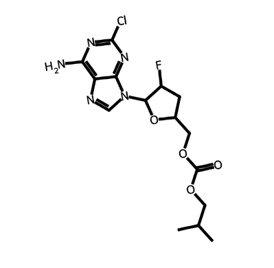 CC(C)COC(=O)OCC1CC(F)C(n2cnc3c(N)nc(Cl)nc32)O1